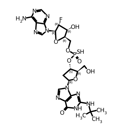 CC(C)(C)Nc1nc2c(ncn2[C@H]2C[C@H](OP(=O)(S)OC[C@H]3O[C@@H](n4cnc5c(N)ncnc54)[C@H](F)[C@@H]3O)[C@@H](CO)O2)c(=O)[nH]1